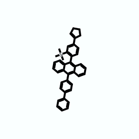 C[Si](C)(C)c1cc(C2=CCCC2)ccc1-c1c2ccccc2c(-c2ccc(-c3ccccc3)cc2)c2ccccc12